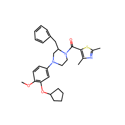 COc1ccc(N2CCN(C(=O)c3sc(C)nc3C)C(Cc3ccccc3)C2)cc1OC1CCCC1